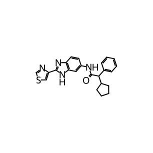 O=C(Nc1ccc2nc(-c3cscn3)[nH]c2c1)C(c1ccccc1)C1CCCC1